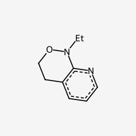 CCN1OCCc2cccnc21